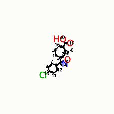 C[C@@H]1c2onc(-c3ccc(Cl)cc3)c2CCC[C@H]1C(=O)O